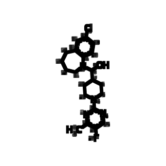 Cc1nc(N2CCC(C(O)N3CCCCc4cc(Cl)ccc43)CC2)ncc1F